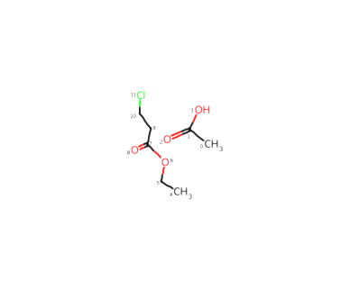 CC(=O)O.CCOC(=O)CCCl